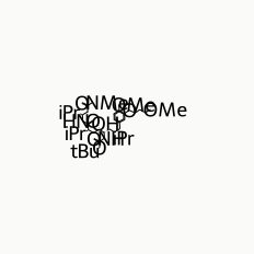 CNC(=O)C[C@@H](NC(=O)[C@@H](C[C@H](O)[C@H](C[C@H](Cc1ccc(OC)c(OCCCOC)c1)C(C)C)NC(=O)OC(C)(C)C)C(C)C)C(C)C